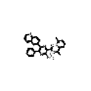 Cc1cccc(C(C)NC(=O)c2nc(-c3ccc4ncccc4c3)c(-c3ccccc3)nc2N)n1